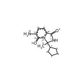 CC1(C2CCCC2)NC(=O)c2ccc(N)c(=O)n21